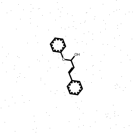 OC(C=Cc1ccccc1)Oc1ccccc1